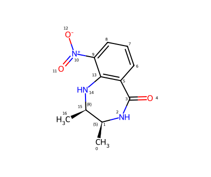 C[C@@H]1NC(=O)c2cccc([N+](=O)[O-])c2N[C@@H]1C